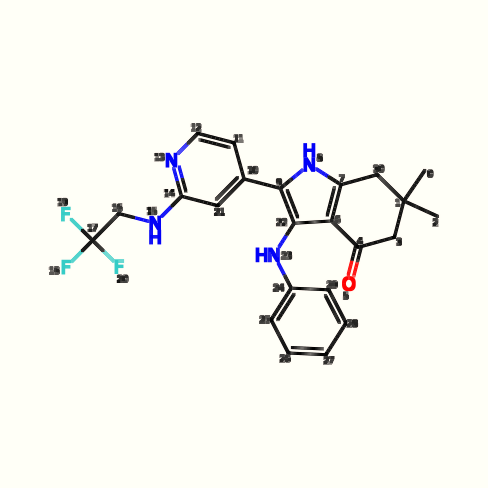 CC1(C)CC(=O)c2c([nH]c(-c3ccnc(NCC(F)(F)F)c3)c2Nc2ccccc2)C1